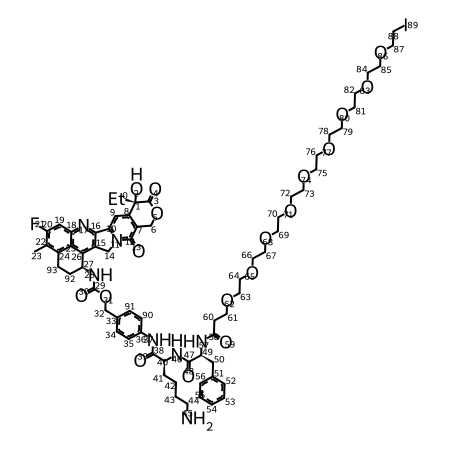 CC[C@@]1(O)C(=O)OCc2c1cc1n(c2=O)Cc2c-1nc1cc(F)c(C)c3c1c2[C@@H](NC(=O)OCc1ccc(NC(=O)[C@H](CCCCN)NC(=O)[C@H](Cc2ccccc2)NC(=O)CCOCCOCCOCCOCCOCCOCCOCCOCCOCCI)cc1)CC3